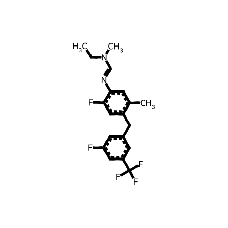 CCN(C)C=Nc1cc(C)c(Cc2cc(F)cc(C(F)(F)F)c2)cc1F